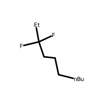 [CH2]CC(F)(F)CCCCCCC